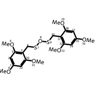 COc1cc(OC)c(CSOSCc2c(OC)cc(OC)cc2OC)c(OC)c1